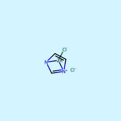 [Cl-].[Cl][Zn]1[n]2cc[n+]1c2